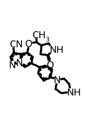 CC(Oc1cc(-c2ccc(N3CCNCC3)cc2)cn2ncc(C#N)c12)C1CNC(=O)C1